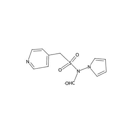 O=[C]N(n1cccc1)S(=O)(=O)Cc1ccncc1